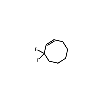 FC1(F)/C=C\CCCCC1